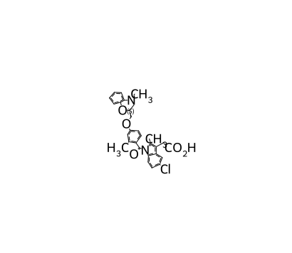 Cc1cc(OC[C@@H]2CN(C)c3ccccc3O2)ccc1C(=O)n1c(C)c(CC(=O)O)c2cc(Cl)ccc21